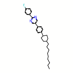 CCCCCCCCCC1CCC(c2ccc(-c3cnc(-c4ccc(F)cc4)nc3)cc2)CC1